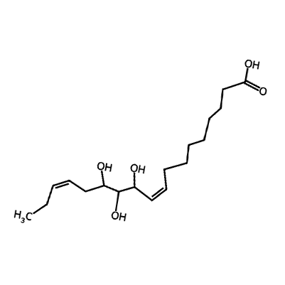 CC/C=C\CC(O)C(O)C(O)/C=C\CCCCCCCC(=O)O